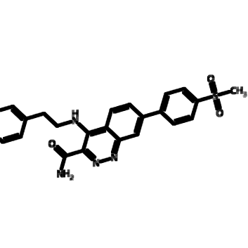 CS(=O)(=O)c1ccc(-c2ccc3c(NCCc4ccccc4)c(C(N)=O)nnc3c2)cc1